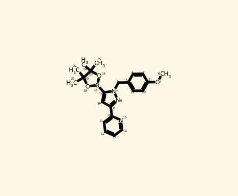 COc1ccc(Cn2nc(-c3ccccn3)cc2B2OC(C)(C)C(C)(C)O2)cc1